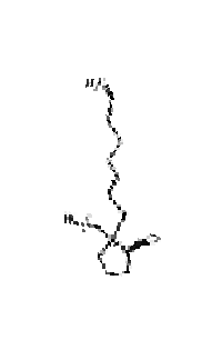 C=CCCCCCCC1(C(=O)O)CCCC1=O